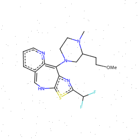 COCCC1CN(C2=c3ncccc3=CNc3sc(C(F)F)nc32)CCN1C